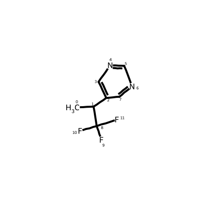 CC(c1cncnc1)C(F)(F)F